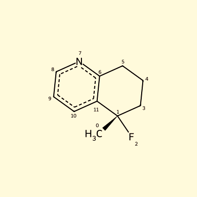 C[C@]1(F)CCCc2ncccc21